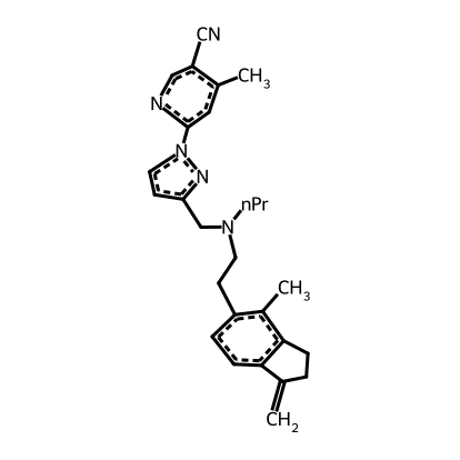 C=C1CCc2c1ccc(CCN(CCC)Cc1ccn(-c3cc(C)c(C#N)cn3)n1)c2C